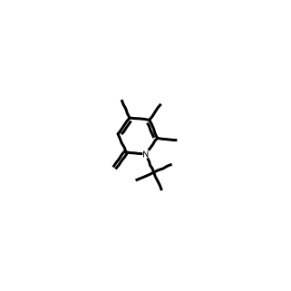 C=C1C=C(C)C(C)=C(C)N1C(C)(C)C